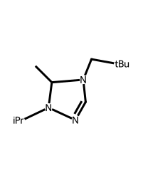 CC(C)N1N=CN(CC(C)(C)C)C1C